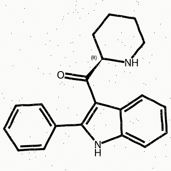 O=C(c1c(-c2ccccc2)[nH]c2ccccc12)[C@H]1CCCCN1